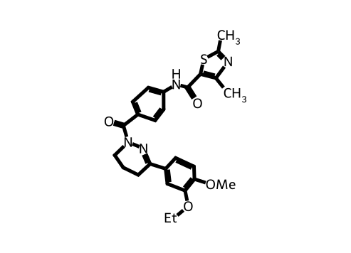 CCOc1cc(C2=NN(C(=O)c3ccc(NC(=O)c4sc(C)nc4C)cc3)CCC2)ccc1OC